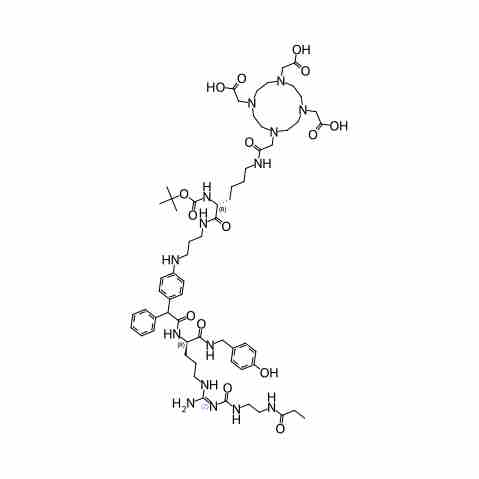 CCC(=O)NCCNC(=O)/N=C(/N)NCCC[C@@H](NC(=O)C(c1ccccc1)c1ccc(NCCCNC(=O)[C@@H](CCCCNC(=O)CN2CCN(CC(=O)O)CCN(CC(=O)O)CCN(CC(=O)O)CC2)NC(=O)OC(C)(C)C)cc1)C(=O)NCc1ccc(O)cc1